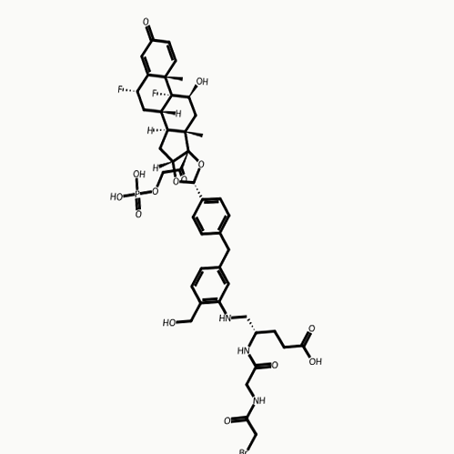 C[C@]12C=CC(=O)C=C1[C@@H](F)C[C@H]1[C@@H]3C[C@H]4O[C@@H](c5ccc(Cc6ccc(CO)c(NC[C@H](CCC(=O)O)NC(=O)CNC(=O)CBr)c6)cc5)O[C@@]4(C(=O)COP(=O)(O)O)[C@@]3(C)C[C@H](O)[C@@]12F